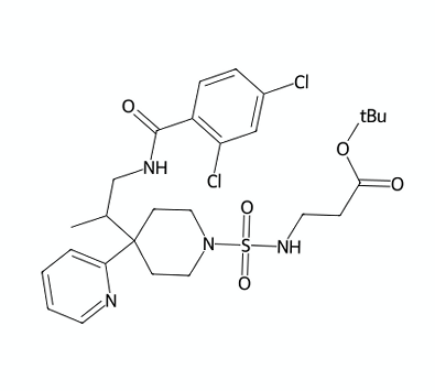 CC(CNC(=O)c1ccc(Cl)cc1Cl)C1(c2ccccn2)CCN(S(=O)(=O)NCCC(=O)OC(C)(C)C)CC1